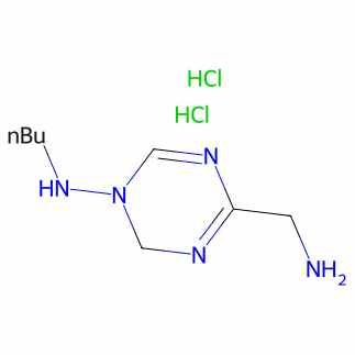 CCCCNN1C=NC(CN)=NC1.Cl.Cl